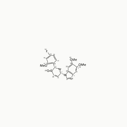 COc1cc2ncn(C3=NC(c4ccc(F)cc4OC)C(=O)C=C3)c2cc1OC